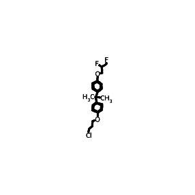 CC(C)(c1ccc(OCCCCl)cc1)c1ccc(OCC(F)CF)cc1